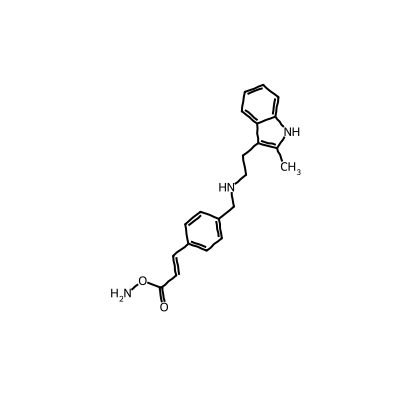 Cc1[nH]c2ccccc2c1CCNCc1ccc(/C=C/C(=O)ON)cc1